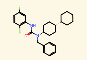 O=C(Nc1cc(F)ccc1F)N(Cc1ccccc1)[C@H]1CC[C@@H](C2CCCCC2)CC1